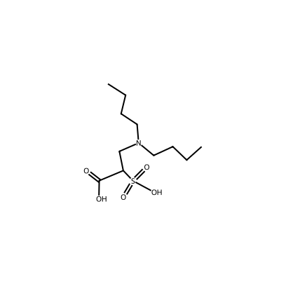 CCCCN(CCCC)CC(C(=O)O)S(=O)(=O)O